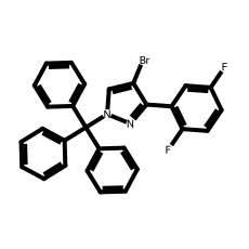 Fc1ccc(F)c(-c2nn(C(c3ccccc3)(c3ccccc3)c3ccccc3)cc2Br)c1